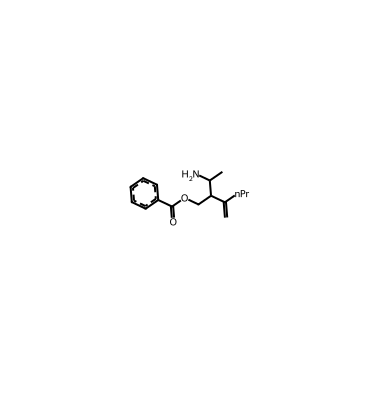 C=C(CCC)C(COC(=O)c1ccccc1)C(C)N